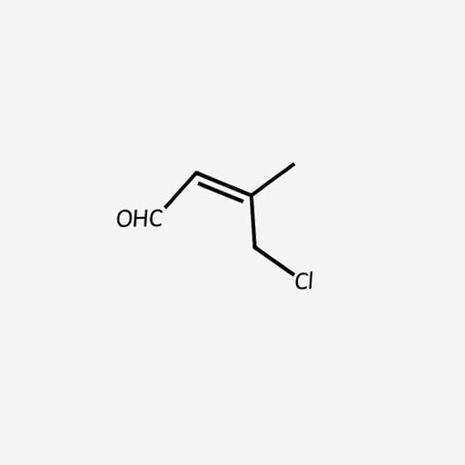 CC(=CC=O)CCl